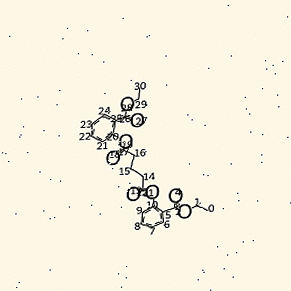 CCOC(=O)c1ccccc1OC(=O)CCCC(=O)Oc1ccccc1C(=O)OCC